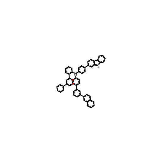 c1ccc(-c2cccc(-c3ccccc3N(c3ccc(-c4cccc(-c5ccc6ccccc6c5)c4)cc3)c3ccc(-c4ccc5c(c4)sc4ccccc45)cc3)c2)cc1